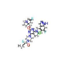 C=C(F)C(=O)N1CCN(c2nc(OCC34CCCN3C[C@H](F)C4)nc3c2CCCN3Cc2c(Cl)c(F)cc3[nH]ncc23)CC1